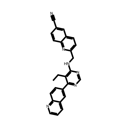 CCc1c(NCc2ccc3cc(C#N)ccc3n2)ncnc1-c1ccc2ncccc2c1